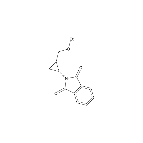 CCOCC1C[C@H]1N1C(=O)c2ccccc2C1=O